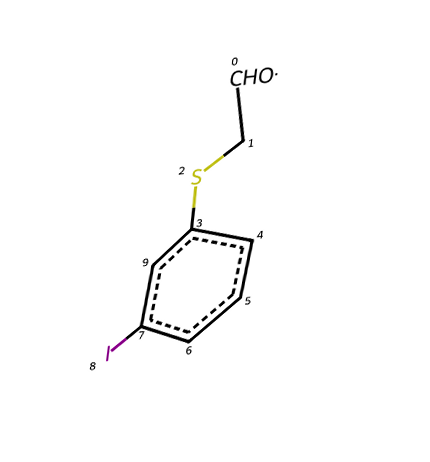 O=[C]CSc1cccc(I)c1